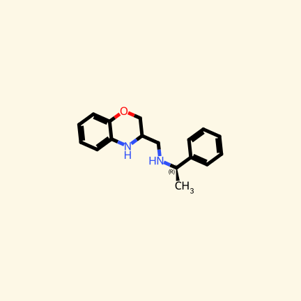 C[C@@H](NCC1COc2ccccc2N1)c1ccccc1